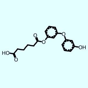 O=C(O)CCCCC(=O)Oc1cccc(Oc2cccc(O)c2)c1